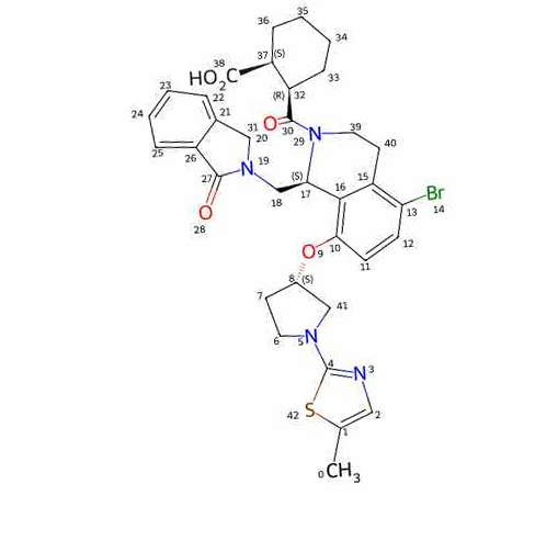 Cc1cnc(N2CC[C@H](Oc3ccc(Br)c4c3[C@@H](CN3Cc5ccccc5C3=O)N(C(=O)[C@@H]3CCCC[C@@H]3C(=O)O)CC4)C2)s1